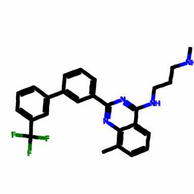 CNCCCNc1nc(-c2cccc(-c3cccc(C(F)(F)F)c3)c2)nc2c(C)cccc12